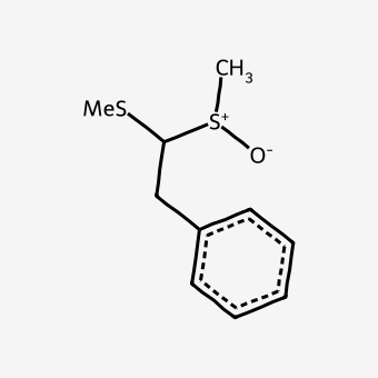 CSC(Cc1ccccc1)[S+](C)[O-]